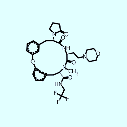 CN1C(=O)[C@H](CCN2CCOCC2)NC(=O)[C@@H](N2CCCC2=O)Cc2cccc(c2)Oc2cccc(c2)C[C@H]1C(=O)NCC(F)(F)F